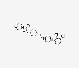 O=C(NC1CCC(CCN2CCN(c3cccc(Cl)c3Cl)CC2)CC1)N1CCOCC1